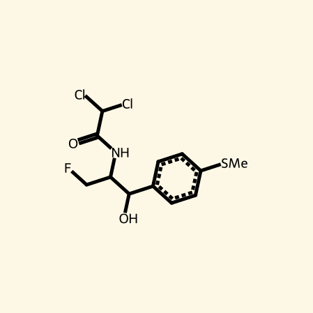 CSc1ccc(C(O)C(CF)NC(=O)C(Cl)Cl)cc1